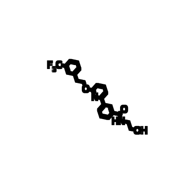 O=C(NCCO)c1cccc(-c2cccc(OCCc3cccc(C(F)(F)F)c3)n2)c1